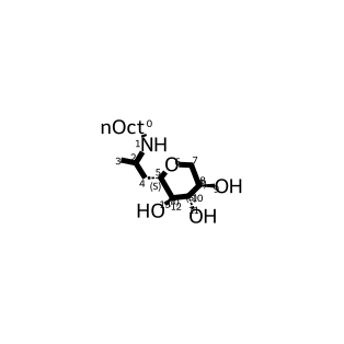 CCCCCCCCNC(C)C[C@@H]1OC[C@@H](O)[C@H](O)[C@H]1O